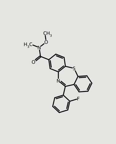 CON(C)C(=O)c1ccc2c(c1)N=C(c1ccccc1F)c1ccccc1S2